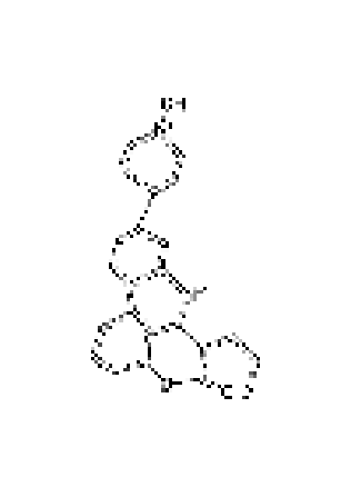 C[n+]1c2c3c(cccc3c3ccc(-c4cc[n+](O)cc4)cc31)Oc1ccccc1-2